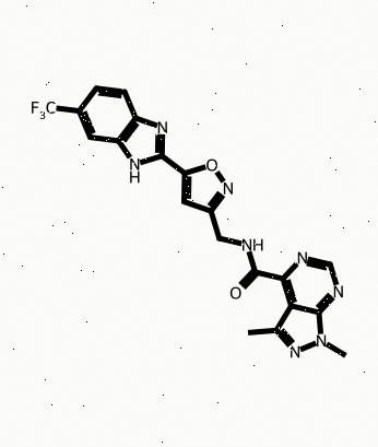 Cc1nn(C)c2ncnc(C(=O)NCc3cc(-c4nc5ccc(C(F)(F)F)cc5[nH]4)on3)c12